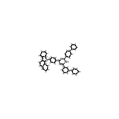 c1ccc(-c2ccc(C3N=C(c4ccc(-n5c6ccccc6c6ccc7ccccc7c65)cc4)N=C(c4cccc(-c5ccccc5)c4)N3)cc2)cc1